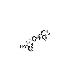 CCC(CN(C)c1ccc(Oc2nc(O)c3ccncc3n2)cc1)c1ccccc1